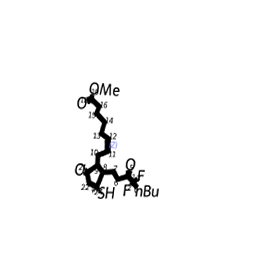 CCCCC(F)(F)C(=O)CCC1C(C/C=C\CCCCC(=O)OC)C(=O)C[C@H]1S